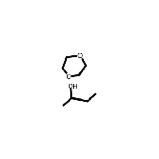 C1COCCO1.CCC(C)O